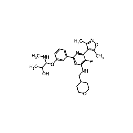 CNC(Oc1cccc(-c2nc(NCC3CCOCC3)c(F)c(-c3c(C)noc3C)n2)c1)C(C)O